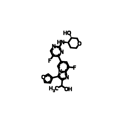 CC(O)c1nc2c(F)cc(-c3nc(N[C@@H]4CCOC[C@H]4O)ncc3F)cn2c1-c1ccoc1